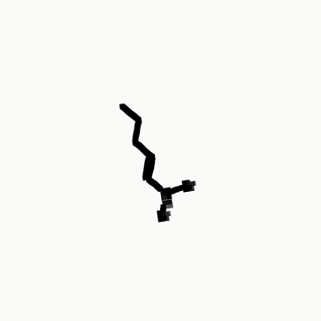 CCCC=C[SiH](Br)Br